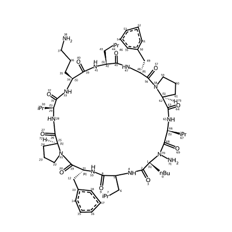 CCCC[C@H]1C(=O)NC(CC(C)C)C(=O)N[C@H](Cc2ccccc2)C(=O)N2CCC[C@H]2C(=O)N[C@@H](C(C)C)C(=O)N[C@@H](CCCN)C(=O)N[C@@H](CC(C)C)C(=O)N[C@H](Cc2ccccc2)C(=O)N2CCC[C@H]2C(=O)N[C@@H](C(C)C)C(=O)N1N